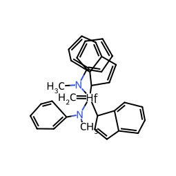 [CH2]=[Hf]([CH]1C=Cc2ccccc21)([CH]1C=Cc2ccccc21)([N](C)c1ccccc1)[N](C)c1ccccc1